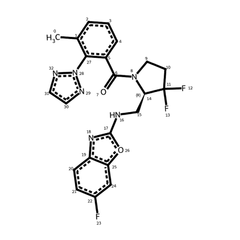 Cc1cccc(C(=O)N2CCC(F)(F)[C@H]2CNc2nc3ccc(F)cc3o2)c1-n1nccn1